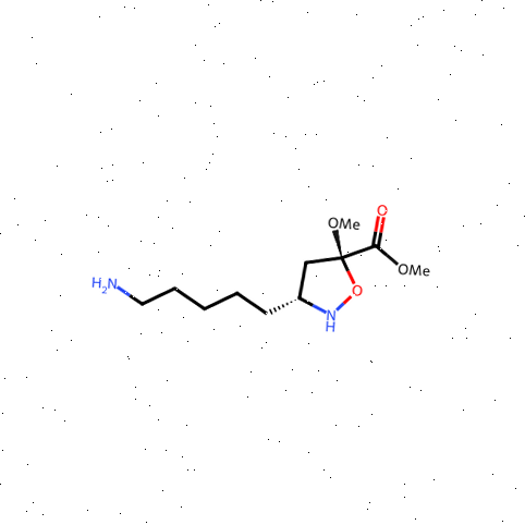 COC(=O)[C@@]1(OC)C[C@@H](CCCCCN)NO1